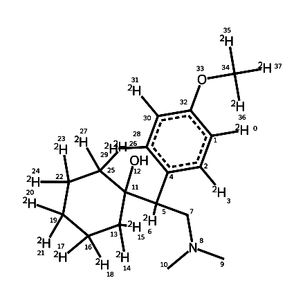 [2H]c1c([2H])c(C([2H])(CN(C)C)C2(O)C([2H])([2H])C([2H])([2H])C([2H])([2H])C([2H])([2H])C2([2H])[2H])c([2H])c([2H])c1OC([2H])([2H])[2H]